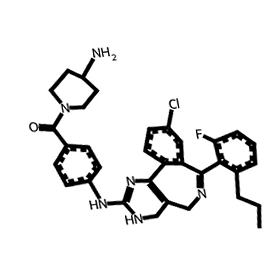 CCCc1cccc(F)c1C1=NCC2=C(N=C(Nc3ccc(C(=O)N4CCC(N)CC4)cc3)NC2)c2ccc(Cl)cc21